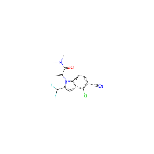 CC(C(=O)N(C)C)n1c(C(F)F)cc2c(Cl)c(C#N)ccc21